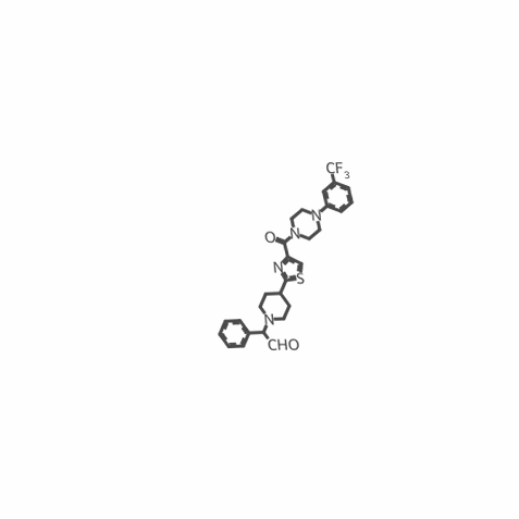 O=CC(c1ccccc1)N1CCC(c2nc(C(=O)N3CCN(c4cccc(C(F)(F)F)c4)CC3)cs2)CC1